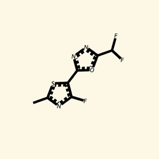 Cc1nc(F)c(-c2nnc(C(F)F)o2)s1